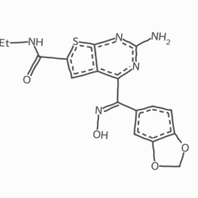 CCNC(=O)c1cc2c(C(=NO)c3ccc4c(c3)OCO4)nc(N)nc2s1